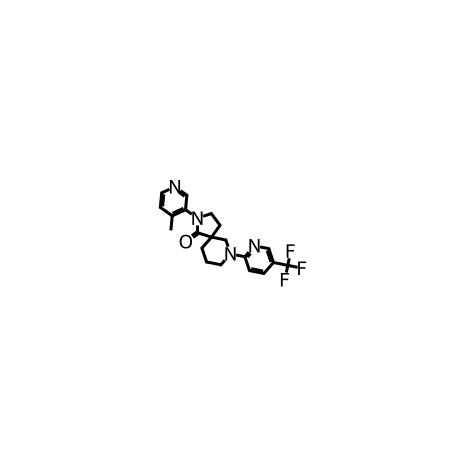 Cc1ccncc1N1CCC2(CCCN(c3ccc(C(F)(F)F)cn3)C2)C1=O